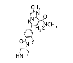 Cc1cn2nc(-c3ccc4c(=O)n(C5CCNCC5)ccc4c3)cc(C(=O)N(C)C)c2n1